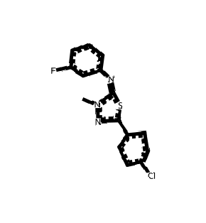 Cn1nc(-c2ccc(Cl)cc2)s/c1=N/c1cccc(F)c1